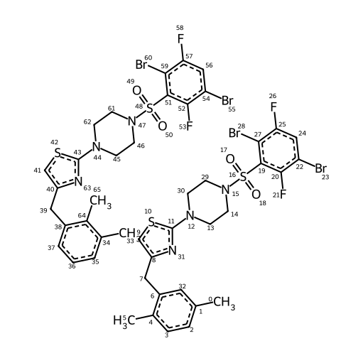 Cc1ccc(C)c(Cc2csc(N3CCN(S(=O)(=O)c4c(F)c(Br)cc(F)c4Br)CC3)n2)c1.Cc1cccc(Cc2csc(N3CCN(S(=O)(=O)c4c(F)c(Br)cc(F)c4Br)CC3)n2)c1C